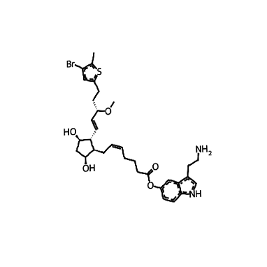 CO[C@H](/C=C/[C@@H]1[C@@H](C/C=C\CCCC(=O)Oc2ccc3[nH]cc(CCN)c3c2)[C@@H](O)C[C@H]1O)CCc1cc(Br)c(C)s1